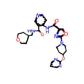 O=C(Nc1ccncc1C(=O)NCC1CCOCC1)c1coc(N2CCC(Oc3ncccn3)CC2)n1